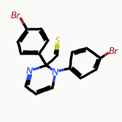 S=CC1(c2ccc(Br)cc2)N=CC=CN1c1ccc(Br)cc1